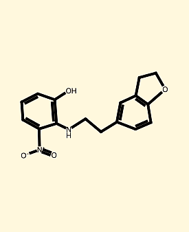 O=[N+]([O-])c1cccc(O)c1NCCc1ccc2c(c1)CCO2